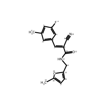 Cc1cc(F)cc(/C=C(\C#N)C(=O)NCc2ccc(C)o2)c1